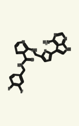 Nc1ncnc2[nH]cc(-c3ccc(CNc4ncccc4C(=O)NCc4ccc(F)c(F)c4)s3)c12